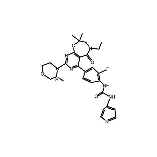 CCN1CC(C)(C)Oc2nc(N3CCOC[C@@H]3C)nc(-c3ccc(NC(=O)Nc4ccncc4)c(F)c3)c2C1=O